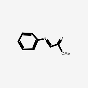 COC(=O)C=Nc1ccccc1